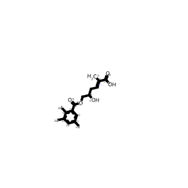 C/C(=C\CC(O)COC(=O)c1cc(I)cc(I)c1I)C(=O)O